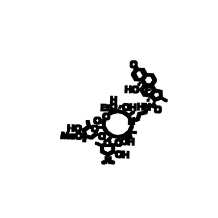 CC[C@H]1OC(=O)[C@H](C)[C@@H](O[C@@H]2C[C@](C)(OC)[C@H](O)C(C)O2)[C@H](C)[C@@H](O[C@@H]2O[C@H](C)C[C@@H](N(C)C)[C@H]2O)[C@]2(O)C[C@@]2(C)CN(CCCNC(=O)[C@H]2[C@H](C)CC3C4CCC5=CC(=O)C=C[C@]5(C)[C@@]4(F)[C@@H](O)C[C@@]32C)[C@H](C)[C@@H](O)[C@]1(C)O